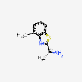 Cc1cccc2sc([C@@H](C)N)nc12